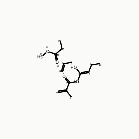 C=C(C)C(=O)OC(O)=CCC.C=CC.CCC(=O)OS